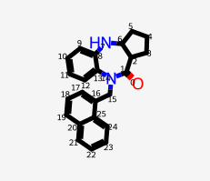 O=C1C2CCCC2Nc2ccccc2N1Cc1cccc2ccccc12